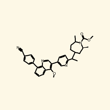 COC(=O)N1C(C)CCC(C(C)c2ccc(-c3cnc4c(-c5ccc(C#N)cc5)cccc4c3OC)cn2)C[C@@H]1C